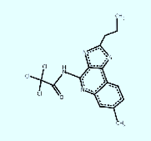 CCCc1nc2c(NC(=O)C(Cl)(Cl)Cl)nc3cc(C)ccc3c2s1